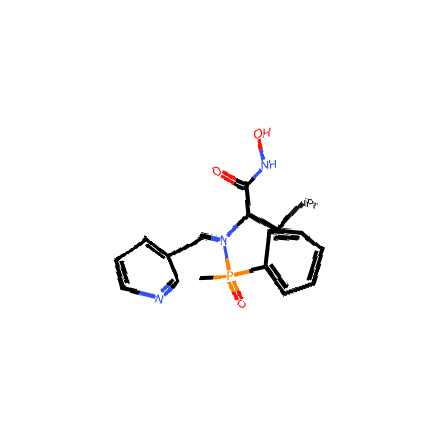 CC(C)CC(C(=O)NO)N(Cc1cccnc1)P(C)(=O)c1ccccc1